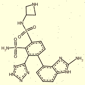 Nc1nc2c(-c3ccc(S(=O)(=O)NC4CNC4)c(S(N)(=O)=O)c3-c3nn[nH]n3)cccc2[nH]1